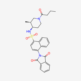 CCCC(=O)N1CC[C@@H](NS(=O)(=O)c2ccc(N3C(=O)c4ccccc4C3=O)c3ccccc23)[C@@H](C)C1